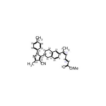 COC(=O)/C=C/C=C(/C)c1ccc2c(c1)CCN(c1c(C#N)c(C)nn1-c1ccc(C)cc1)C2